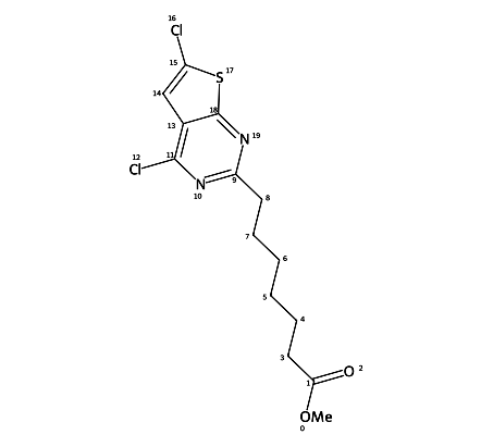 COC(=O)CCCCCCc1nc(Cl)c2cc(Cl)sc2n1